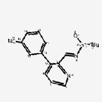 CC(C)(C)[S@+]([O-])N=Cc1ncccc1-c1cccc(C#N)c1